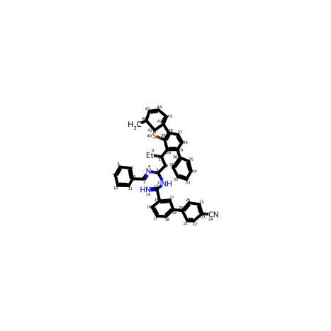 CCC(CC(/N=C/c1ccccc1)NC(=N)c1cccc(-c2ccc(C#N)cc2)c1)c1c(-c2ccccc2)ccc2c1SC1C2=CC=CC1C